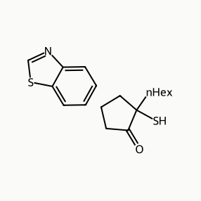 CCCCCCC1(S)CCCC1=O.c1ccc2scnc2c1